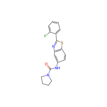 O=C(Nc1ccc2sc(-c3ccccc3F)nc2c1)N1CCCC1